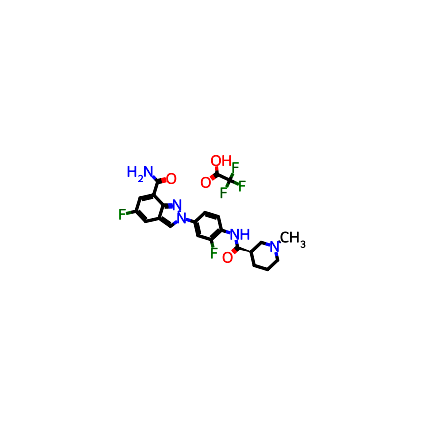 CN1CCC[C@@H](C(=O)Nc2ccc(-n3cc4cc(F)cc(C(N)=O)c4n3)cc2F)C1.O=C(O)C(F)(F)F